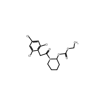 CCOC(=O)OC1CCCCN1C(=O)Cc1c(Cl)cc(Cl)cc1Cl